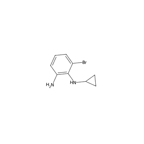 Nc1cccc(Br)c1NC1CC1